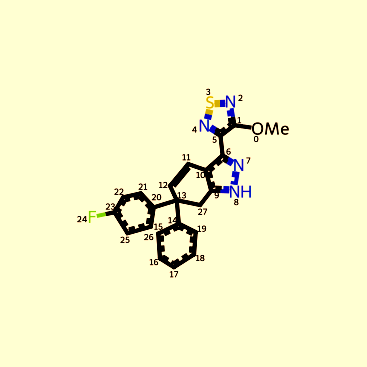 COc1nsnc1-c1n[nH]c2c1C=CC(c1ccccc1)(c1ccc(F)cc1)C2